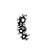 C[C@]12CC[C@H](O)C[C@H]1CC[C@@H]1[C@@H]2CC[C@]2(C)[C@@H](c3ccc(F)cc3)CC[C@]12O